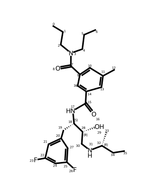 CCCN(CCC)C(=O)c1cc(C)cc(C(=O)N[C@@H](Cc2cc(F)cc(F)c2)[C@H](O)CN[C@H](C)CC)c1